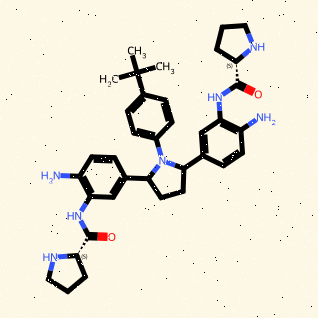 CC(C)(C)c1ccc(N2C(c3ccc(N)c(NC(=O)[C@@H]4CCCN4)c3)CCC2c2ccc(N)c(NC(=O)[C@@H]3CCCN3)c2)cc1